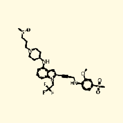 COc1cc(S(C)(=O)=O)ccc1NCC#Cc1cc2c(NC3CCN(CCC[S+](C)[O-])CC3)cccc2n1CC(F)(F)F